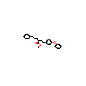 COC(=O)C(CCCc1ccccc1)CCc1ccc(Oc2ccccc2)cc1